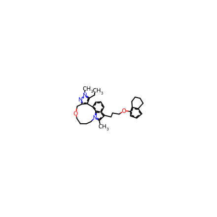 CCc1c2c(nn1C)COCCCCn1c(C)c(CCCOc3cccc4c3CCCC4)c3cccc-2c31